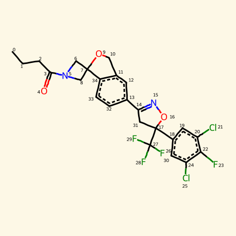 CCCC(=O)N1CC2(C1)OCc1cc(C3=NOC(c4cc(Cl)c(F)c(Cl)c4)(C(F)(F)F)C3)ccc12